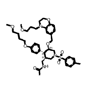 COCCCCOc1ccc([C@H]2[C@H](CNC(C)=O)CN(S(=O)(=O)c3ccc(C)cc3)C[C@@H]2OCc2ccc3c(c2)N(CCCOC)CCO3)cc1